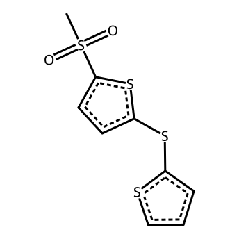 CS(=O)(=O)c1ccc(Sc2cccs2)s1